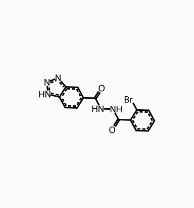 O=C(NNC(=O)c1ccccc1Br)c1ccc2[nH]nnc2c1